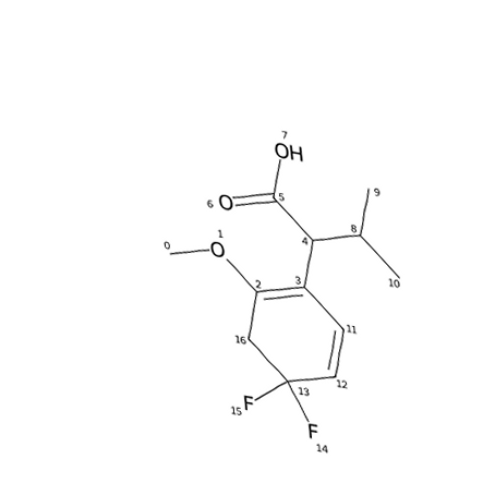 COC1=C(C(C(=O)O)C(C)C)C=CC(F)(F)C1